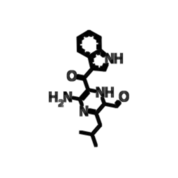 CC(C)CC1=NC(N)=C(C(=O)c2c[nH]c3ccccc23)NC1C=O